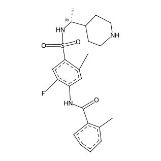 Cc1ccccc1C(=O)Nc1cc(C)c(S(=O)(=O)N[C@H](C)C2CCNCC2)cc1F